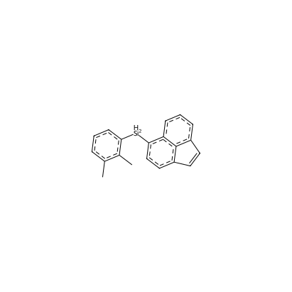 Cc1cccc([SiH2]c2ccc3c4c(cccc24)C=C3)c1C